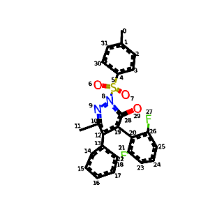 Cc1ccc(S(=O)(=O)n2nc(C)c(-c3ccccc3)c(-c3c(F)cccc3F)c2=O)cc1